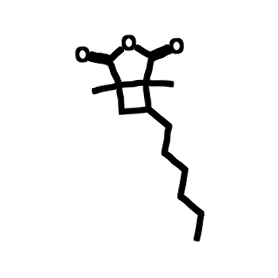 CCCCCCC1CC2(C)C(=O)OC(=O)C12C